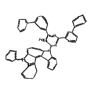 C1=Cc2c(c3c4c5ccccc5n(C5N=C(c6cccc(-c7ccccc7)c6)N=C(c6cccc(-c7ccccc7)c6)N5)c4ccc3n2-c2ccccc2)CC1